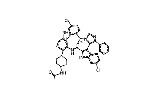 CC(=O)NC1CCN(c2ccc(N)cc2NC(=O)c2[nH]c3cc(Cl)ccc3c2-c2c(-c3ccccc3)ncn2[C@@H](C)c2ccc(Cl)cc2Cl)CC1